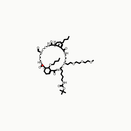 CCCCOC1C2=CCC[C@@H]1C(=O)NCCN(C=O)CCNC(=O)[C@@H]1CCC=C(C(=O)NCCN(CCOCCOCCOC)CC(CCCCNC(=O)OC(C)(C)C)NC2=O)C1OCCCC